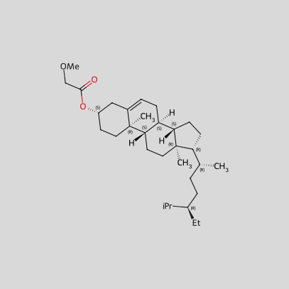 CC[C@H](CC[C@@H](C)[C@H]1CC[C@H]2[C@@H]3CC=C4C[C@@H](OC(=O)COC)CC[C@]4(C)[C@H]3CC[C@]12C)C(C)C